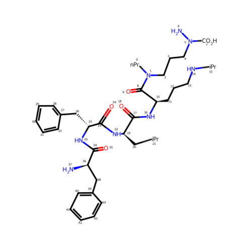 CCCN(CCCN(N)C(=O)O)C(=O)[C@@H](CCCNC(C)C)NC(=O)[C@@H](CC(C)C)NC(=O)[C@@H](Cc1ccccc1)NC(=O)[C@H](N)Cc1ccccc1